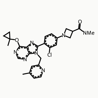 CNC(=O)C1CN(c2ccc(-c3nc4c(OC5(C)CC5)ncnc4n3Cc3cc(C)ccn3)c(Cl)c2)C1